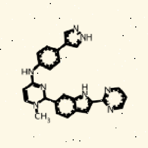 CN1C=CC(Nc2ccc(-c3cn[nH]c3)cc2)=NC1c1ccc2cc(-c3ncccn3)[nH]c2c1